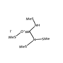 CSNC(=[O+]SC)N(SC)SC.[I-]